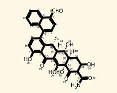 C[C@H]1c2c(-c3ccc(C=O)c4ccccc34)ccc(O)c2C(=O)C2=C(O)[C@]3(O)C(=O)C(C(N)=O)C(O)C[C@@H]3[C@@H](O)[C@@H]21